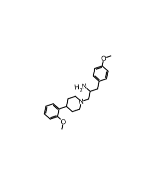 COc1ccc(CC(N)CN2CCC(c3ccccc3OC)CC2)cc1